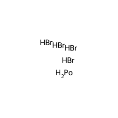 Br.Br.Br.Br.[PoH2]